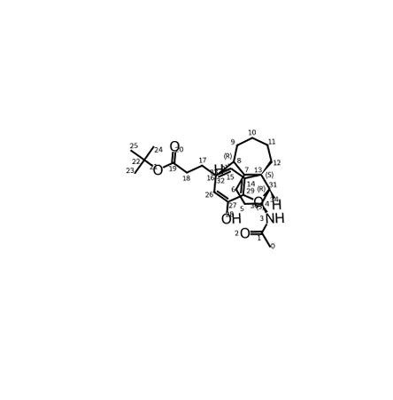 CC(=O)N[C@H]1CCC2[C@@H]3CCCC[C@@]24c2c(c(CCC(=O)OC(C)(C)C)cc(O)c2O[C@@H]14)C3